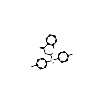 O=C1CC(P(=O)(c2ccc(Cl)cc2)c2ccc(Cl)cc2)Oc2ccccc21